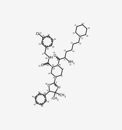 CC1(C)N=C(N2CCN(C(=O)C(N)CCCCN3CCCCC3)[C@H](C(=O)NCc3cccc(Cl)c3)C2)OC1c1ccccc1